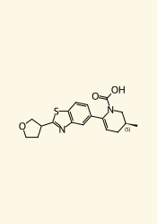 C[C@H]1CC=C(c2ccc3sc(C4CCOC4)nc3c2)N(C(=O)O)C1